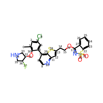 Cc1cc(Cl)cc(-c2ccnc3cc(CCOC4=NS(=O)(=O)c5ccccc54)sc23)c1O[C@@H]1CNC[C@@H]1F